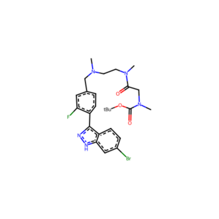 CN(CCN(C)C(=O)CN(C)C(=O)OC(C)(C)C)Cc1ccc(-c2n[nH]c3cc(Br)ccc23)c(F)c1